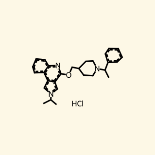 CC(c1ccccc1)N1CCC(COc2nc3ccccc3c3cn(C(C)C)cc23)CC1.Cl